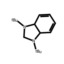 CC(C)(C)N1CN(C(C)(C)C)C2C=CC=CC21